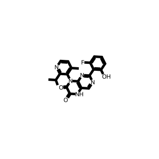 Cc1ccnc(C(C)C)c1-n1c(=O)c(=O)[nH]c2cnc(-c3c(O)cccc3F)nc21